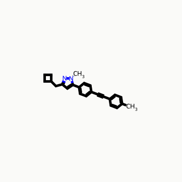 Cc1ccc(C#Cc2ccc(-c3cc(CC4CCC4)nn3C)cc2)cc1